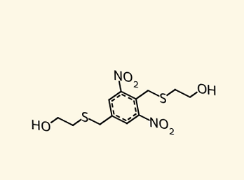 O=[N+]([O-])c1cc(CSCCO)cc([N+](=O)[O-])c1CSCCO